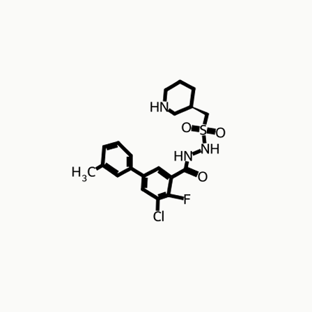 Cc1cccc(-c2cc(Cl)c(F)c(C(=O)NNS(=O)(=O)C[C@@H]3CCCNC3)c2)c1